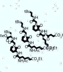 CCOC(=O)/C=C/CC[C@H](NC(=O)CCC(=O)O)C(=O)Nc1cccn(CC(=O)NCCC(C)(C)C)c1=O.CCOC(=O)/C=C/CC[C@H](NC(C)=O)C(=O)Nc1cccn(CC(=O)NCCC(C)(C)C)c1=O.CCOC(=O)/C=C/CC[C@H](NC(C)=O)C(=O)Nc1cccn(CC(=O)N[C@@H](CC(C)(C)C)C(=O)OC)c1=O